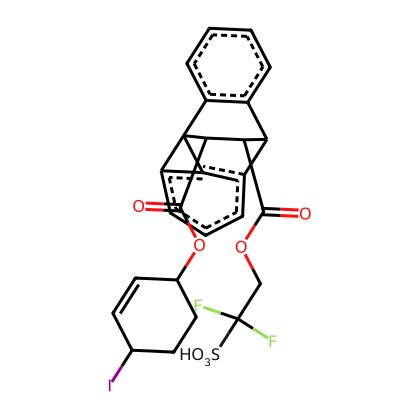 O=C(OCC(F)(F)S(=O)(=O)O)C1C2c3ccccc3C3(c4cccc2c43)C1C(=O)OC1C=CC(I)CC1